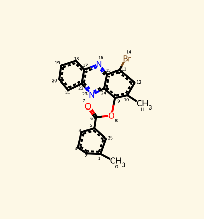 Cc1cccc(C(=O)Oc2c(C)cc(Br)c3nc4ccccc4nc23)c1